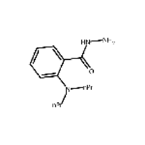 CCCN(CCC)c1ccccc1C(=O)NN